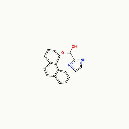 O=C(O)c1ncc[nH]1.c1ccc2c(c1)ccc1ccccc12